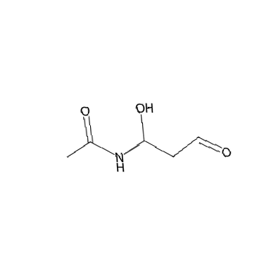 CC(=O)NC(O)CC=O